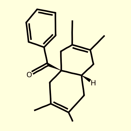 CC1=C(C)C[C@]2(C(=O)c3ccccc3)CC(C)=C(C)C[C@@H]2C1